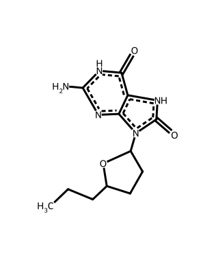 CCCC1CCC(n2c(=O)[nH]c3c(=O)[nH]c(N)nc32)O1